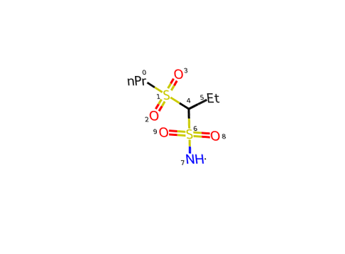 CCCS(=O)(=O)C(CC)S([NH])(=O)=O